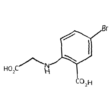 O=C(O)CNc1ccc(Br)cc1C(=O)O